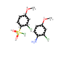 Nc1ccc(OC(F)(F)F)cc1Cl.O=S(=O)(Cl)c1ccc(OC(F)(F)F)cc1Cl